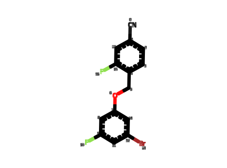 N#Cc1ccc(COc2cc(F)cc(Br)c2)c(F)c1